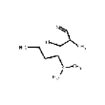 CC(C=S)CCl.CCCC[Si](C)C